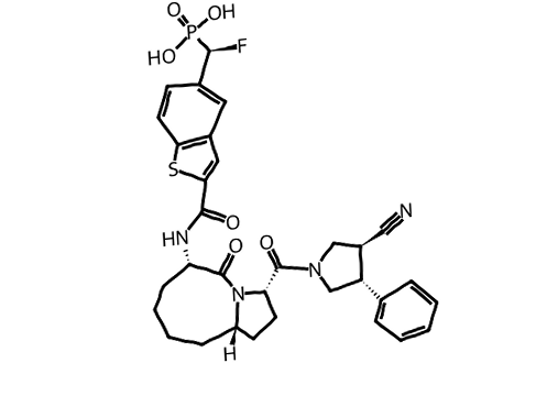 N#C[C@@H]1CN(C(=O)[C@@H]2CC[C@@H]3CCCC[C@H](NC(=O)c4cc5cc([C@H](F)P(=O)(O)O)ccc5s4)C(=O)N32)C[C@H]1c1ccccc1